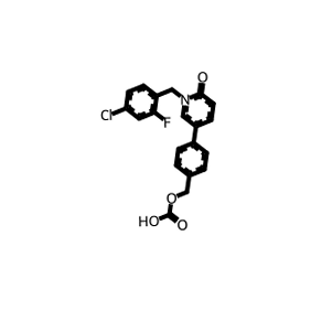 O=C(O)OCc1ccc(-c2ccc(=O)n(Cc3ccc(Cl)cc3F)c2)cc1